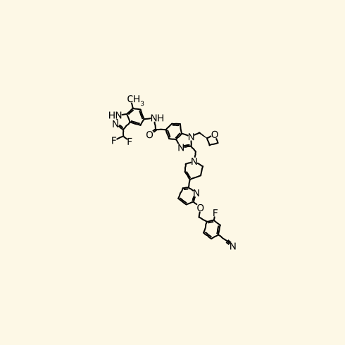 Cc1cc(NC(=O)c2ccc3c(c2)nc(CN2CC=C(c4cccc(OCc5ccc(C#N)cc5F)n4)CC2)n3C[C@@H]2CCO2)cc2c(C(F)F)n[nH]c12